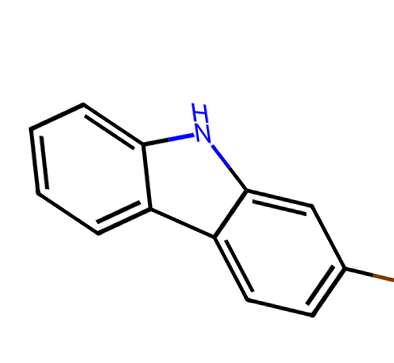 [S]c1ccc2c(c1)[nH]c1ccccc12